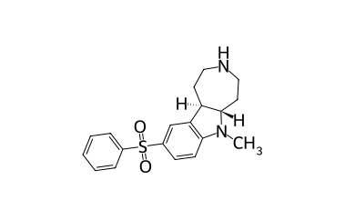 CN1c2ccc(S(=O)(=O)c3ccccc3)cc2[C@H]2CCNCC[C@@H]21